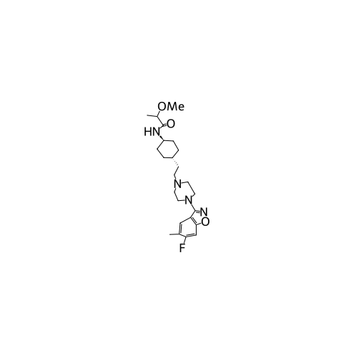 COC(C)C(=O)N[C@H]1CC[C@H](CCN2CCN(c3noc4cc(F)c(C)cc34)CC2)CC1